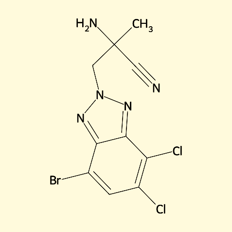 CC(N)(C#N)Cn1nc2c(Br)cc(Cl)c(Cl)c2n1